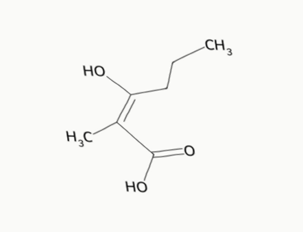 CCC/C(O)=C(/C)C(=O)O